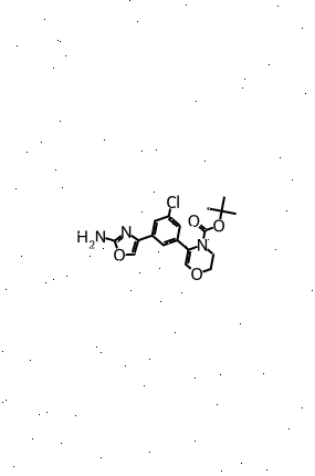 CC(C)(C)OC(=O)N1CCOC=C1c1cc(Cl)cc(-c2coc(N)n2)c1